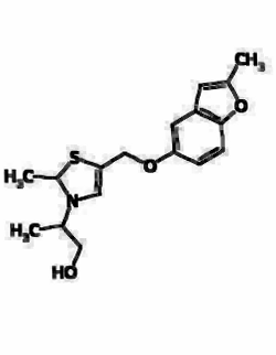 Cc1cc2cc(OCC3=CN(C(C)CO)C(C)S3)ccc2o1